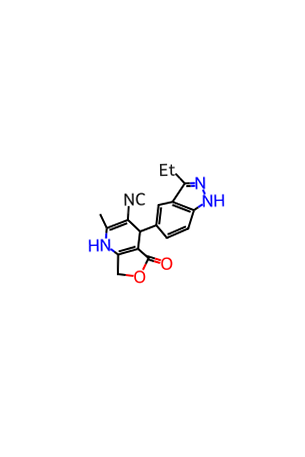 [C-]#[N+]C1=C(C)NC2=C(C(=O)OC2)C1c1ccc2[nH]nc(CC)c2c1